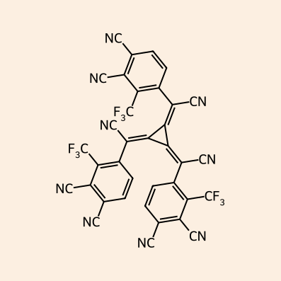 N#CC(=C1C(=C(C#N)c2ccc(C#N)c(C#N)c2C(F)(F)F)C1=C(C#N)c1ccc(C#N)c(C#N)c1C(F)(F)F)c1ccc(C#N)c(C#N)c1C(F)(F)F